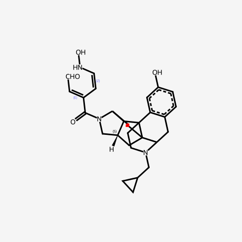 O=C/C=C(\C=C/NO)C(=O)N1C[C@H]2CC34CCC1C2C31CCN(CC2CC2)C4Cc2ccc(O)cc21